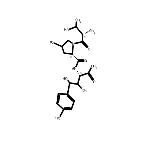 CC(=O)[C@@H](NC(=O)[C@@H]1CC(O)CN1C(=O)[C@@H](C)C(C)O)C(O)C(O)c1ccc(O)cc1